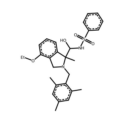 CCOc1cccc2c1CN(Cc1c(C)cc(C)cc1C)C2(C)C(O)NS(=O)(=O)c1ccccc1